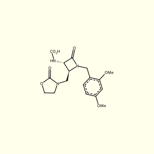 COc1ccc(CN2C(=O)[C@@H](NC(=O)O)[C@@H]2CN2CCOC2=O)c(OC)c1